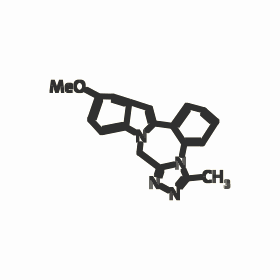 COc1ccc2c(c1)cc1n2Cc2nnc(C)n2-c2ccccc2-1